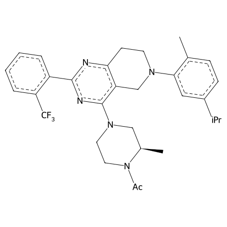 CC(=O)N1CCN(c2nc(-c3ccccc3C(F)(F)F)nc3c2CN(c2cc(C(C)C)ccc2C)CC3)C[C@H]1C